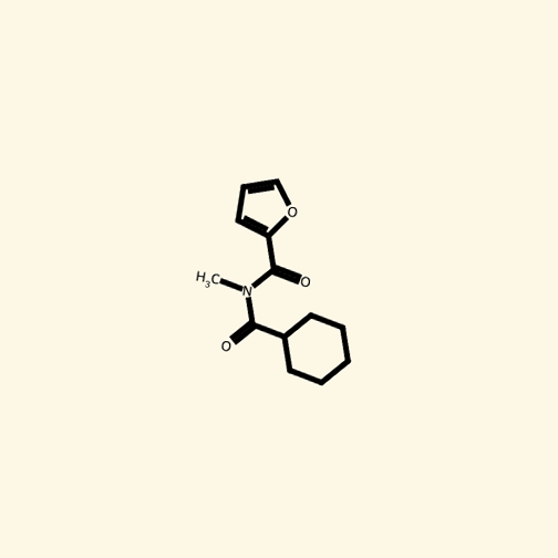 CN(C(=O)c1ccco1)C(=O)C1CCCCC1